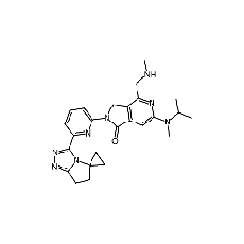 CNCc1nc(N(C)C(C)C)cc2c1CN(c1cccc(-c3nnc4n3C3(CC4)CC3)n1)C2=O